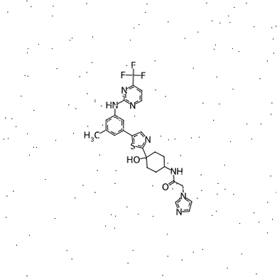 Cc1cc(Nc2nccc(C(F)(F)F)n2)cc(-c2cnc(C3(O)CCC(NC(=O)Cn4ccnc4)CC3)s2)c1